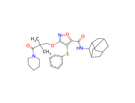 CC(C)(COc1noc(C(=O)NC2C3CC4CC(C3)CC2C4)c1Sc1ccccc1)C(=O)N1CCCCC1